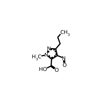 CCCc1nn(C)c(C(=O)O)c1N=O